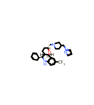 FC(F)(F)c1ccc2c(c1)[C@H]1O[C@@H](CN3CCC(Cn4cccn4)CC3)CC[C@H]1[C@H](C1C=CC=CC1)N2